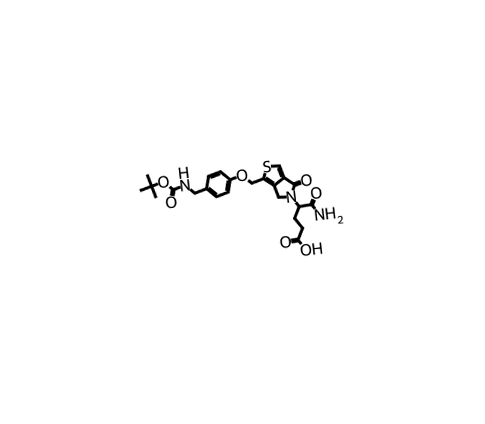 CC(C)(C)OC(=O)NCc1ccc(OCc2scc3c2CN(C(CCC(=O)O)C(N)=O)C3=O)cc1